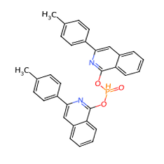 Cc1ccc(-c2cc3ccccc3c(O[PH](=O)Oc3nc(-c4ccc(C)cc4)cc4ccccc34)n2)cc1